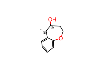 C[C@H]1c2ccccc2OCC[C@@H]1O